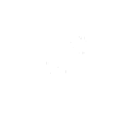 CC(C)(C)C1CCC(O)(C(=O)CN)CC1